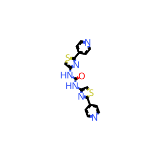 O=C(Nc1csc(-c2ccncc2)n1)Nc1csc(-c2ccncc2)n1